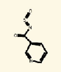 O=S=NC(=O)c1cccnc1